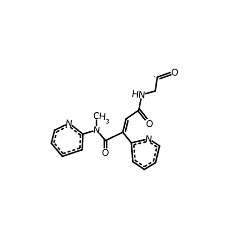 CN(C(=O)C(=CC(=O)NC[C]=O)c1ccccn1)c1ccccn1